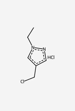 CCn1cc(CCl)cn1.Cl